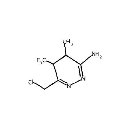 CC1C(N)=NN=C(CCl)C1C(F)(F)F